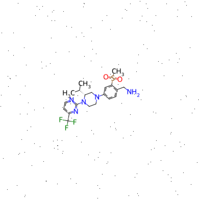 CC(C)[C@@H]1CN(c2ccc(CN)c(S(C)(=O)=O)c2)CCN1c1nccc(C(F)(F)F)n1